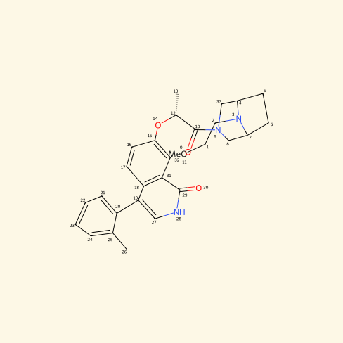 COCCN1C2CCC1CN(C(=O)[C@@H](C)Oc1ccc3c(-c4ccccc4C)c[nH]c(=O)c3c1)C2